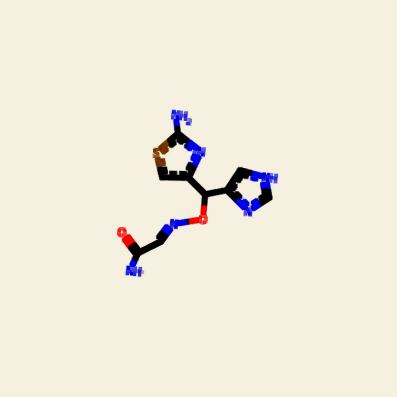 [NH]C(=O)C=NOC(c1c[nH]cn1)c1csc(N)n1